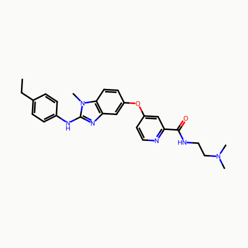 CCc1ccc(Nc2nc3cc(Oc4ccnc(C(=O)NCCN(C)C)c4)ccc3n2C)cc1